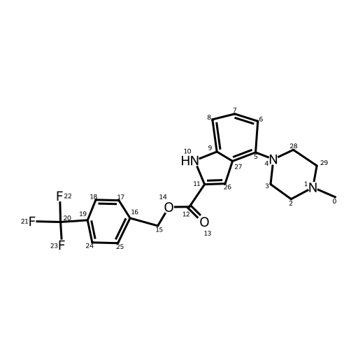 CN1CCN(c2cccc3[nH]c(C(=O)OCc4ccc(C(F)(F)F)cc4)cc23)CC1